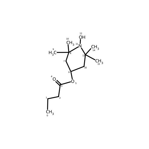 CCCC(=O)OC1CC(C)(C)N(O)C(C)(C)C1